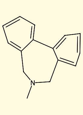 CN1Cc2ccccc2-c2ccccc2C1